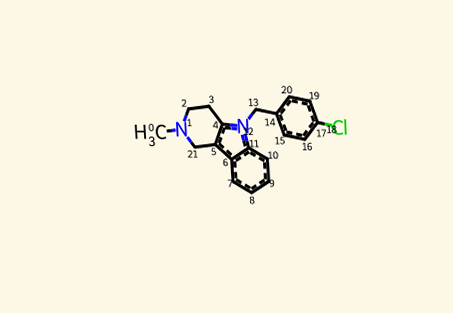 CN1CCc2c(c3ccccc3n2Cc2ccc(Cl)cc2)C1